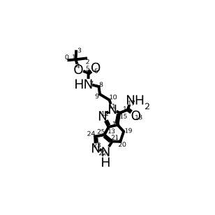 CC(C)(C)OC(=O)NCCCn1nc2c(c1C(N)=O)CCc1[nH]ncc1-2